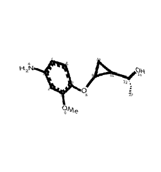 COc1cc(N)ccc1OC1CC1[C@@H](C)O